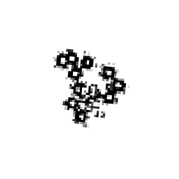 C=C/C(=C\C=C(/C)N(C/C=C\C(=C/C)c1ccc(-c2cccc3ccccc23)c(-c2ccccc2)c1)C1(C)C=CC=CC1c1ccccc1)c1cccc2c1sc1c(-c3ccccc3)cccc12